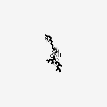 C=C/C(C)=C\C(=C)CC(=O)OC(C(=O)Nc1nnc(CCCCc2ccc(C)nn2)s1)/C(C=C(C)C)=C/C